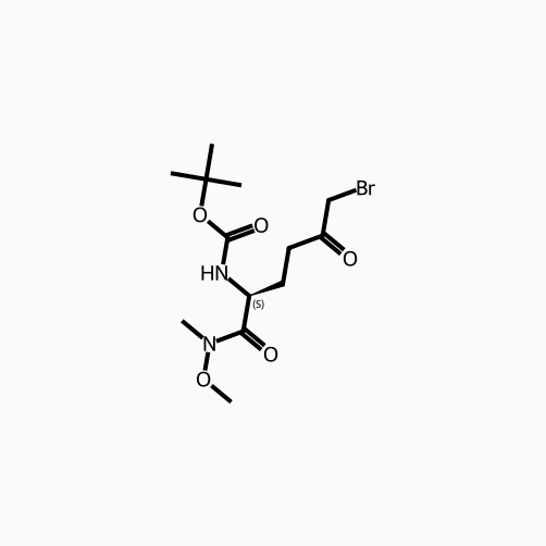 CON(C)C(=O)[C@H](CCC(=O)CBr)NC(=O)OC(C)(C)C